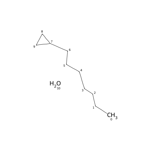 CCCCCCCC1CC1.O